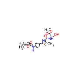 COC(=O)[C@H](CO)NC(=O)c1nc(-c2ccc(NC(=O)OC(C)(C)C)cc2)sc1C